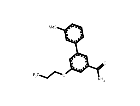 CSc1cccc(-c2cc(OCCC(F)(F)F)cc(C(N)=O)c2)c1